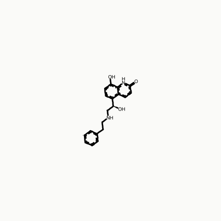 O=c1ccc2c([C@@H](O)CNCCc3c[c]ccc3)ccc(O)c2[nH]1